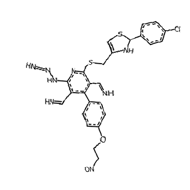 N=Cc1c(NN=N)nc(SCC2=CSC(c3ccc(Cl)cc3)N2)c(C=N)c1-c1ccc(OCCN=O)cc1